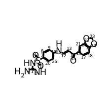 N=C(N)NS(=O)(=O)c1ccc(NC=CC(=O)c2ccc3c(c2)OCO3)cc1